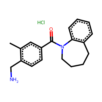 Cc1cc(C(=O)N2CCCCc3ccccc32)ccc1CN.Cl